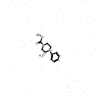 C[C@@H]1CN(C(=O)OC(C)(C)C)CCN1c1ccccc1